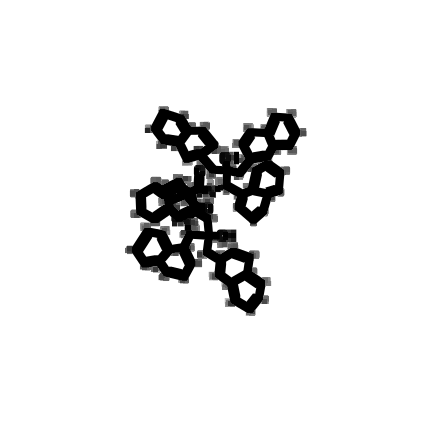 O=C(N[C@@H](c1cccc2ccccc12)C(O)(Cc1ccc2ccccc2c1)Cc1ccc2ccccc2c1)C1(C(=O)N[C@@H](c2cccc3ccccc23)C(O)(Cc2ccc3ccccc3c2)Cc2ccc3ccccc3c2)CCC1